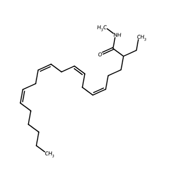 CCCCC/C=C\C/C=C\C/C=C\C/C=C\CCC(CC)C(=O)NC